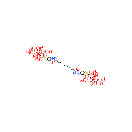 O=C(CCCCCCCCCCCCC(=O)Nc1ccc(S[C@@H]2O[C@H](CO)[C@@H](O[C@H]3O[C@H](CO)[C@@H](O)[C@H](O)[C@H]3O)[C@H](O)[C@H]2O)cc1)Nc1ccc(S[C@@H]2O[C@H](CO)[C@@H](O[C@H]3O[C@H](CO)[C@@H](O)[C@H](O)[C@H]3O)[C@H](O)[C@H]2O)cc1